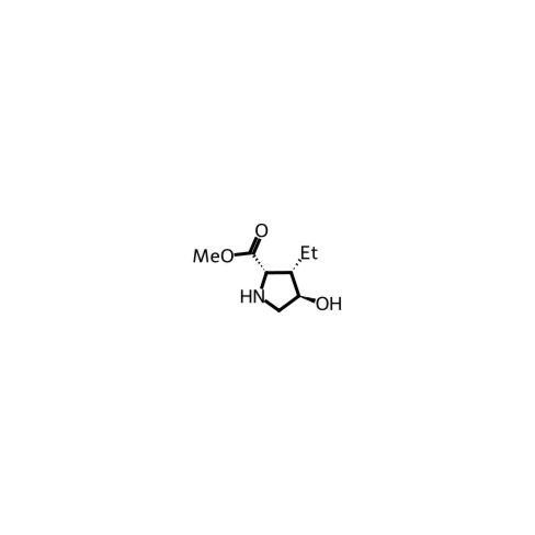 CC[C@H]1[C@@H](C(=O)OC)NC[C@@H]1O